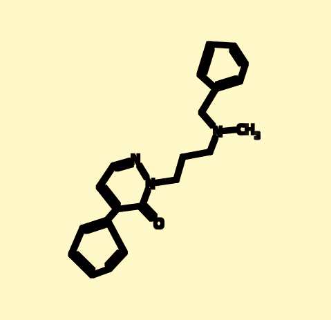 CN(CCCn1nccc(-c2ccccc2)c1=O)Cc1ccccc1